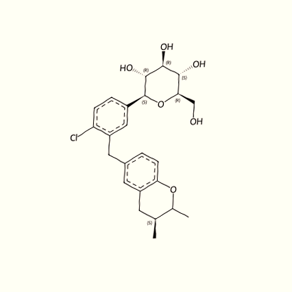 CC1Oc2ccc(Cc3cc([C@@H]4O[C@H](CO)[C@@H](O)[C@H](O)[C@H]4O)ccc3Cl)cc2C[C@@H]1C